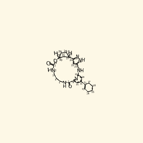 O=C1NCCCNC(=O)c2cc(C3=CCCCC3)cc(n2)Nc2cc(n[nH]2)[C@H]2CC[C@H](C2)O1